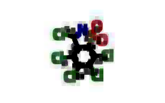 O=S1(=O)N=C(Cl)c2c(Cl)c(Cl)c(Cl)c(Cl)c21